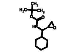 CC(C)(C)OC(=O)NC(C1CCCCC1)[C@H]1CO1